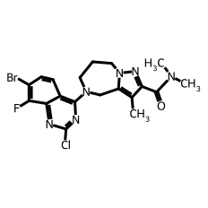 Cc1c(C(=O)N(C)C)nn2c1CN(c1nc(Cl)nc3c(F)c(Br)ccc13)CCC2